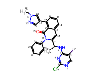 C[C@H](Nc1nc(Cl)ncc1I)c1cc2cccc(-c3cnn(C)c3)c2c(=O)n1-c1ccccc1